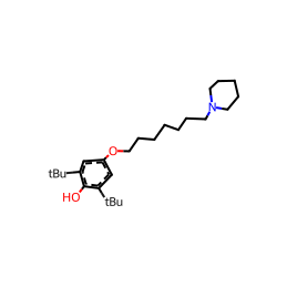 CC(C)(C)c1cc(OCCCCCCCN2CCCCC2)cc(C(C)(C)C)c1O